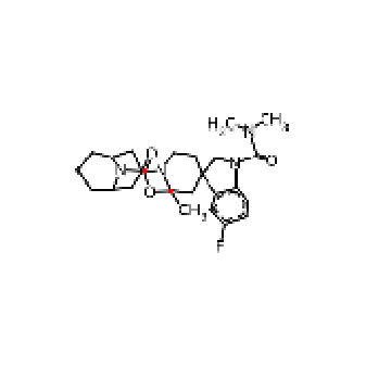 CCOC(=O)N1C2CCCC1CC(N1CCC3(CC1)CN(C(=O)N(C)C)c1ccc(F)cc13)C2